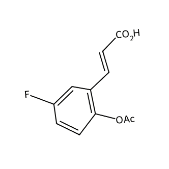 CC(=O)Oc1ccc(F)cc1/C=C/C(=O)O